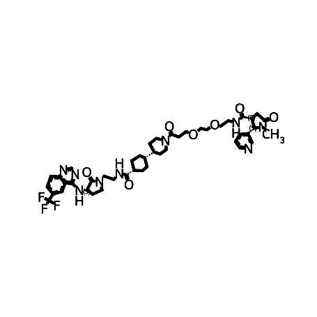 CN1C(=O)C[C@H](C(=O)NCCOCCOCCC(=O)N2CCC([C@H]3CC[C@@H](C(=O)NCCN4CC[C@H](Nc5ncnc6ccc(C(F)(F)F)cc56)C4=O)CC3)CC2)[C@H]1c1cccnc1